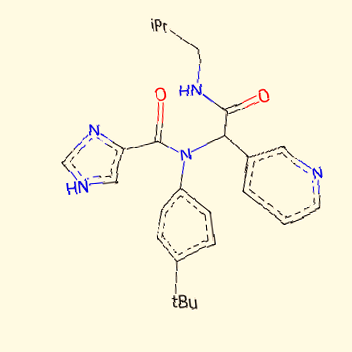 CC(C)CNC(=O)C(c1cccnc1)N(C(=O)c1c[nH]cn1)c1ccc(C(C)(C)C)cc1